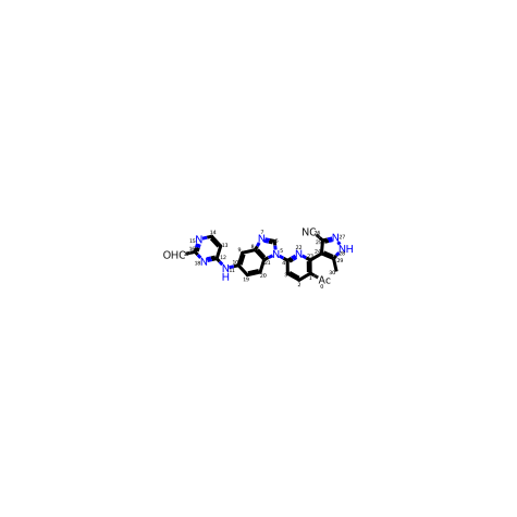 CC(=O)c1ccc(-n2cnc3cc(Nc4ccnc(C=O)n4)ccc32)nc1-c1c(C#N)n[nH]c1C